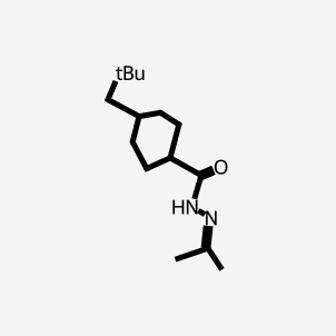 CC(C)=NNC(=O)C1CCC(CC(C)(C)C)CC1